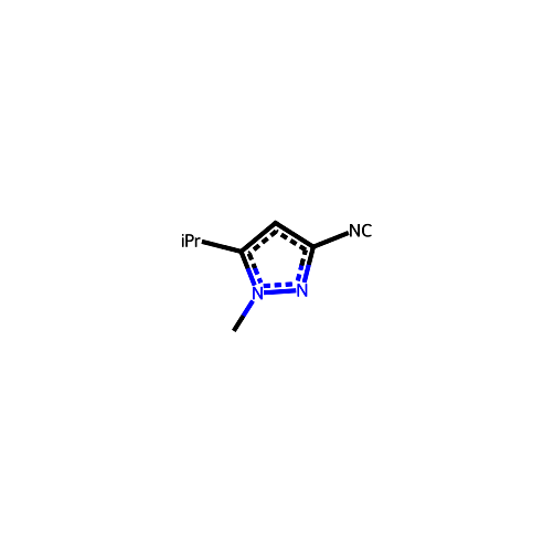 [C-]#[N+]c1cc(C(C)C)n(C)n1